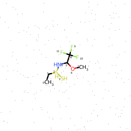 CC[SH](S)NC(OC)C(F)(F)F